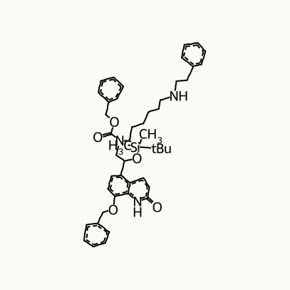 CC(C)(C)[Si](C)(C)OC(CN(CCCCCCNCCc1ccccc1)C(=O)OCc1ccccc1)c1ccc(OCc2ccccc2)c2[nH]c(=O)ccc12